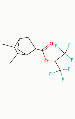 CC1C2CC(C(=O)OC(C(F)(F)F)C(F)(F)F)C(C2)C1C